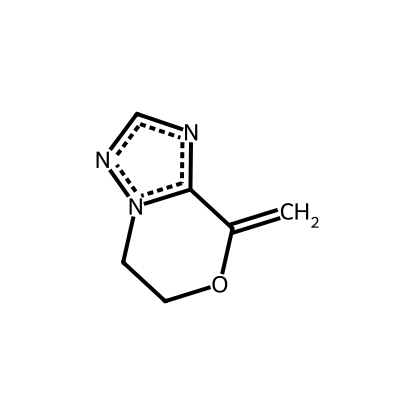 C=C1OCCn2ncnc21